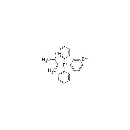 C=C(C(C)C)[P+](c1ccccc1)(c1ccccc1)c1ccccc1.[Br-]